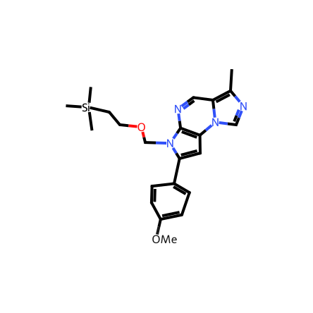 COc1ccc(-c2cc3c(ncc4c(C)ncn43)n2COCC[Si](C)(C)C)cc1